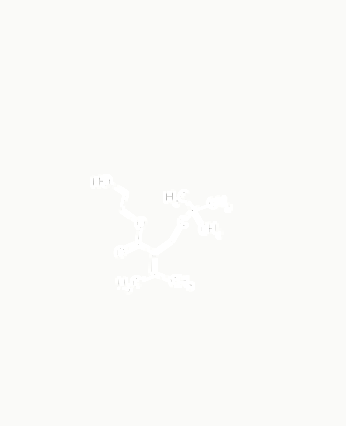 CC(C)=C(CCC(C)(C)C)C(=O)OCCO